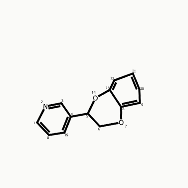 c1cncc(C2COc3ccccc3O2)c1